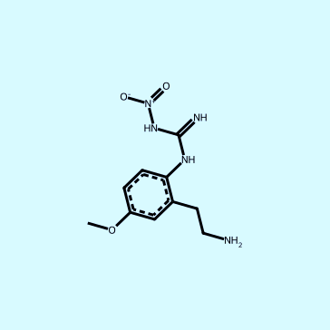 COc1ccc(NC(=N)N[N+](=O)[O-])c(CCN)c1